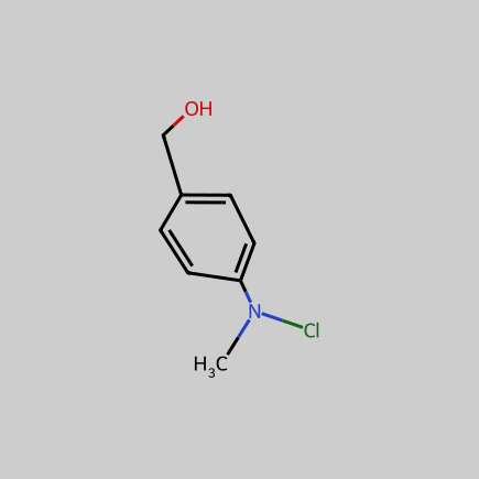 CN(Cl)c1ccc(CO)cc1